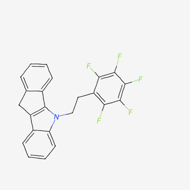 Fc1c(F)c(F)c(CCn2c3c(c4ccccc42)Cc2ccccc2-3)c(F)c1F